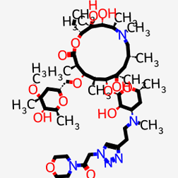 CC[C@H]1OC(=O)[C@H](C)[C@@H](OC[C@H]2C[C@@](C)(OC)[C@@H](O)[C@H](C)O2)[C@H](C)[C@@H](O[C@@H]2O[C@H](C)C[C@H](N(C)CCc3cn(CC(=O)N4CCOCC4)nn3)[C@H]2O)[C@](C)(O)C[C@@H](C)CN(C)[C@H](C)[C@@H](O)[C@]1(C)O